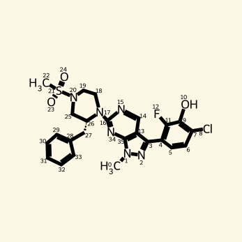 Cn1nc(-c2ccc(Cl)c(O)c2F)c2cnc(N3CCN(S(C)(=O)=O)C[C@H]3Cc3ccccc3)nc21